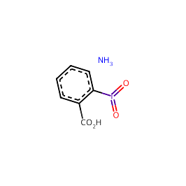 N.O=C(O)c1ccccc1I(=O)=O